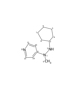 CN(NC1CCCCC1)c1ccncc1